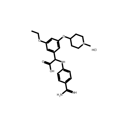 CCOc1cc(OC2CCN(C)CC2)cc(C(Nc2ccc(C(=N)N)cc2)C(=O)O)c1.Cl